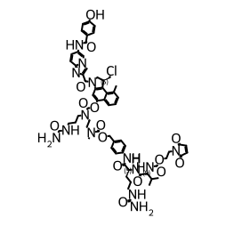 Cc1cccc2c(OC(=O)N(CCCNC(N)=O)CCN(C)C(=O)OCc3ccc(NC(=O)[C@H](CCCNC(N)=O)NC(=O)[C@@H](NC(=O)OCCN4C(=O)C=CC4=O)C(C)C)cc3)cc3c(c12)[C@H](CCl)CN3C(=O)c1cn2cc(NC(=O)c3ccc(O)cc3)ccc2n1